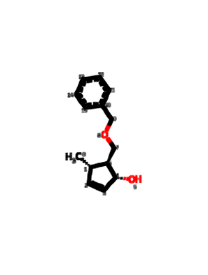 C[C@H]1C=C[C@@H](O)[C@@H]1COCc1ccccc1